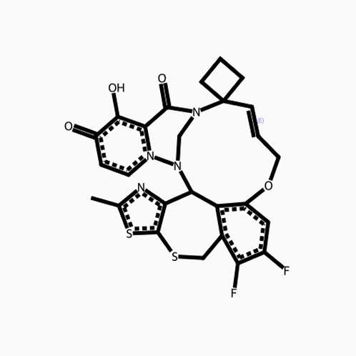 Cc1nc2c(s1)SCc1c(F)c(F)cc3c1C2N1CN(C(=O)c2c(O)c(=O)ccn21)C1(/C=C/CO3)CCC1